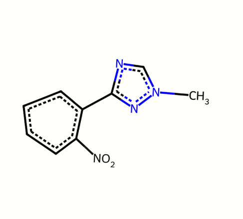 Cn1cnc(-c2ccccc2[N+](=O)[O-])n1